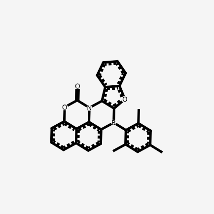 Cc1cc(C)c(B2c3ccc4cccc5c4c3N(C(=O)O5)c3c2oc2ccccc32)c(C)c1